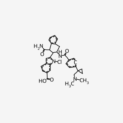 CN(C)CC1(c2ccc(C(=O)NC3Cc4ccccc4C(C(N)=O)C3c3cc4ccc(C(=O)O)cc4n3Cl)cc2)CC1